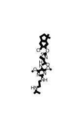 COc1nc(NCCNC(C)C)nc(OC)c1NC(=O)c1csc(Oc2cc3c(cc2Cl)CCC3(C)C)n1